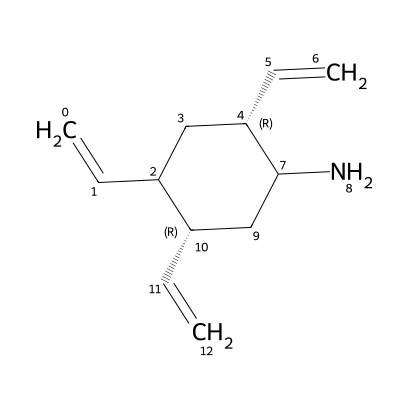 C=CC1C[C@H](C=C)C(N)C[C@@H]1C=C